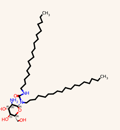 CCCCCCCCCCCCCCCCCCNC(=O)N(CCCCCCCCCCCCCCCCCC)[C@@H]1O[C@H](CO)[C@@H](O)[C@H](O)[C@H]1N